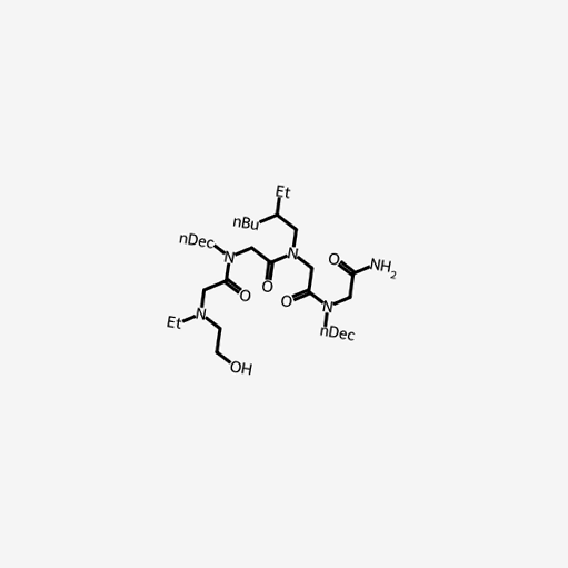 CCCCCCCCCCN(CC(N)=O)C(=O)CN(CC(CC)CCCC)C(=O)CN(CCCCCCCCCC)C(=O)CN(CC)CCO